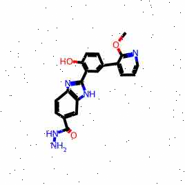 COc1ncccc1-c1ccc(O)c(-c2nc3ccc(C(=O)NN)cc3[nH]2)c1